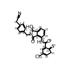 N#CCc1ccc(CN2C(=O)c3c(NC(=O)C4=CC(Cl)=CCC4=S)cccc3C2O)cc1